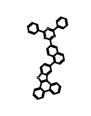 c1ccc(-c2nc(-c3ccccc3)nc(-c3ccc4c(-c5ccc6oc7c8ccccc8c8ccccc8c7c6c5)cccc4c3)n2)cc1